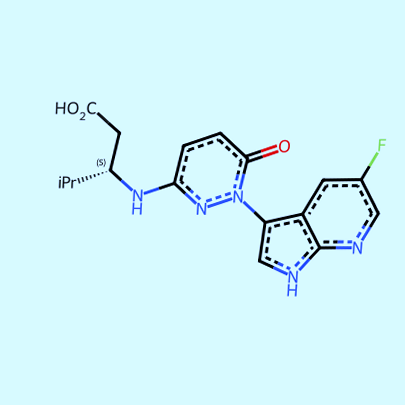 CC(C)[C@H](CC(=O)O)Nc1ccc(=O)n(-c2c[nH]c3ncc(F)cc23)n1